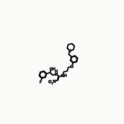 O=[N+]([O-])C=C(NCCCOc1cccc(CN2CCCCC2)c1)NCC(O)c1cccc(F)c1